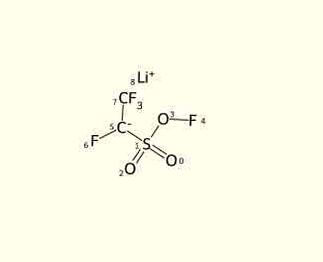 O=S(=O)(OF)[C-](F)C(F)(F)F.[Li+]